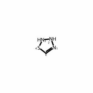 C1=NNNS1